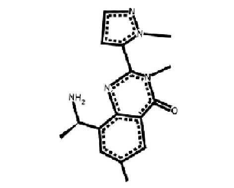 Cc1cc([C@@H](C)N)c2nc(-c3ccnn3C)n(C)c(=O)c2c1